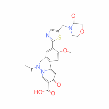 COc1cc2c(cc1-c1ncc(CN3CCOCC3=O)s1)CN(C(C)C)n1cc(C(=O)O)c(=O)cc1-2